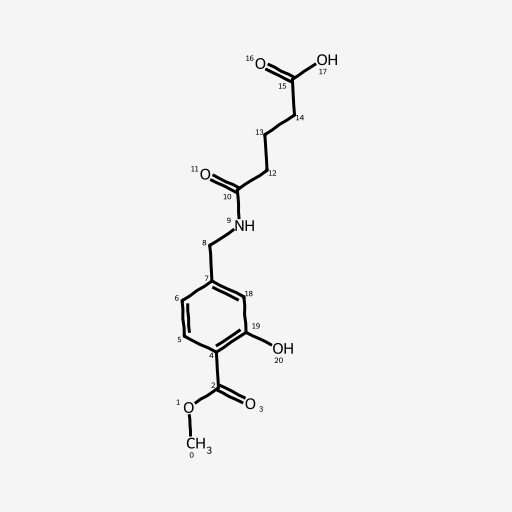 COC(=O)c1ccc(CNC(=O)CCCC(=O)O)cc1O